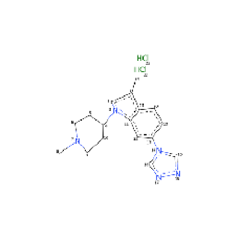 Cc1cn(C2CCN(C)CC2)c2cc(-n3cnnc3)ccc12.Cl.Cl